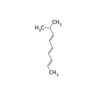 CC=CC=CC=CC(C)C